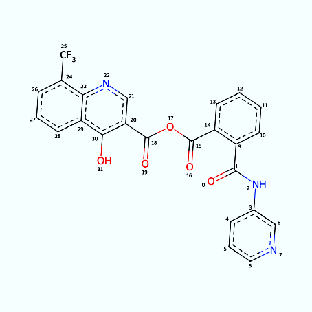 O=C(Nc1cccnc1)c1ccccc1C(=O)OC(=O)c1cnc2c(C(F)(F)F)cccc2c1O